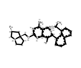 C=C(C)c1cccc2cccc(-c3ncc4c(N)nc(OC[C@@]56CCCN5C[C@H](F)C6)nc4c3F)c12